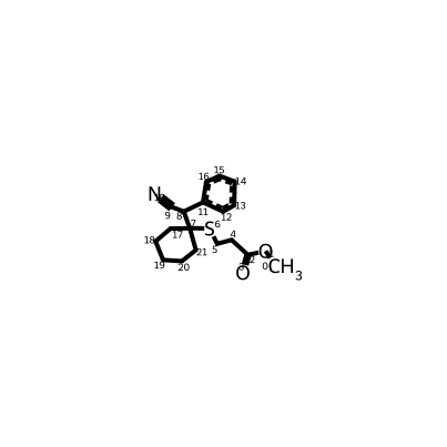 COC(=O)CCSC1(C(C#N)c2ccccc2)CCCCC1